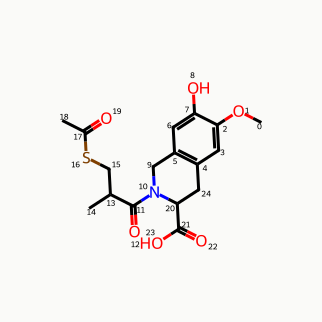 COc1cc2c(cc1O)CN(C(=O)C(C)CSC(C)=O)C(C(=O)O)C2